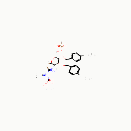 CCN(C(=O)OC(C)(C)C)C1=N[C@@H]2[C@@H](OCc3ccc(OC)cc3)[C@@H](OCc3ccc(OC)cc3)[C@@H](COS(C)(=O)=O)O[C@@H]2S1